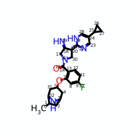 CC1CC2CC(Oc3cc(F)ccc3C(=O)N3CC(=N)/C(=C4/N=CC(C5CC5)=CN4)C3)CC1N2